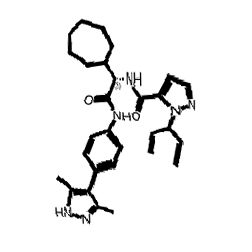 C=CC(C=C)n1nccc1C(=O)N[C@H](C(=O)Nc1ccc(-c2c(C)n[nH]c2C)cc1)C1CCCCCC1